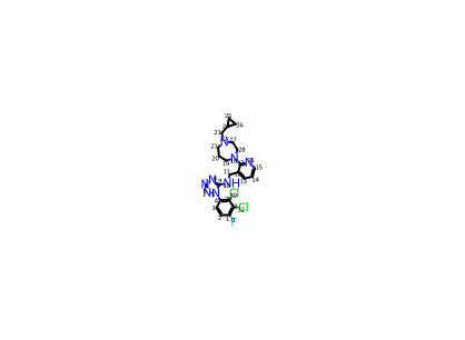 Fc1ccc(-n2nnnc2NCc2cccnc2N2CCCN(CC3CC3)CC2)c(Cl)c1Cl